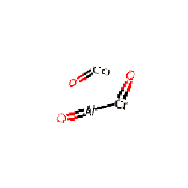 [O]=[Al][Cr]=[O].[O]=[Co]